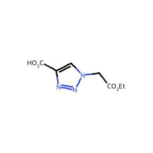 CCOC(=O)Cn1cc(C(=O)O)nn1